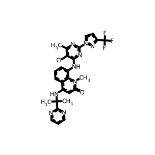 Cc1nc(-n2ccc(C(F)(F)F)n2)nc(Nc2cccc3c(NC(C)(C)c4ncccn4)cc(=O)n(C)c23)c1Cl